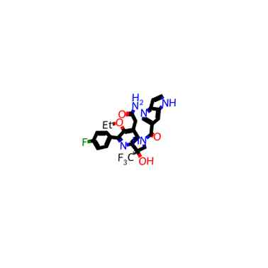 CCOc1c(CC(N)=O)cc([C@@](O)(CNC(=O)c2cnc3cc[nH]c3c2)C(F)(F)F)nc1-c1ccc(F)cc1